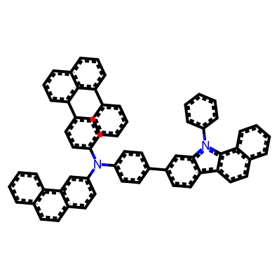 c1ccc(-c2cccc3cccc(-c4ccc(N(c5ccc(-c6ccc7c8ccc9ccccc9c8n(-c8ccccc8)c7c6)cc5)c5ccc6ccc7ccccc7c6c5)cc4)c23)cc1